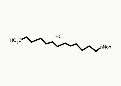 CCCCCCCCCCCCCCCCCCCCCC(=O)O.Cl